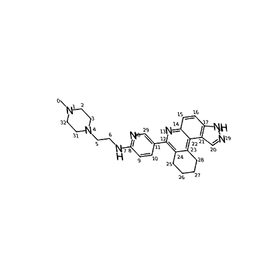 CN1CCN(CCNc2ccc(-c3nc4ccc5[nH]ncc5c4c4c3CCCC4)cn2)CC1